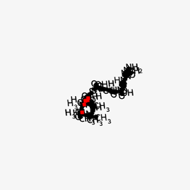 CCC[C@H]1c2cc3[nH]c4c(c3C)C(=O)C(C(=O)OC)c4c3nc(cc4[nH]c(cc(n2)[C@@H]1C)c(C(C)=O)c4C)[C@@H](C)[C@@H]3CCC(=O)NCCSSC[C@@H](NC(=O)CCOCCNC(=O)CC[C@H](NC(=O)c1ccc(NCc2cnc3nc(N)[nH]c(=O)c3n2)cc1)C(=O)O)C(=O)O